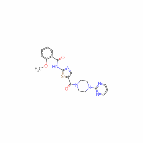 O=C(Nc1ncc(C(=O)N2CCN(c3ncccn3)CC2)s1)c1ccccc1OC(F)(F)F